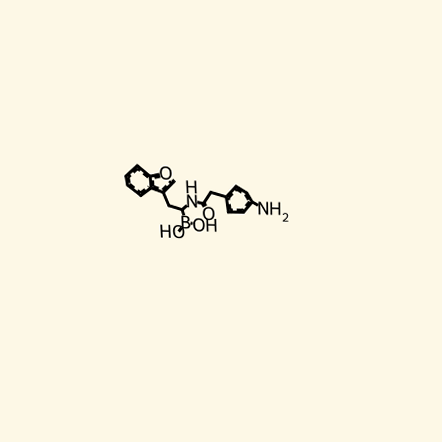 Nc1ccc(CC(=O)NC(Cc2coc3ccccc23)B(O)O)cc1